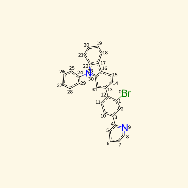 Brc1cc(-c2ccccn2)ccc1-c1ccc2c3ccccc3n(-c3ccccc3)c2c1